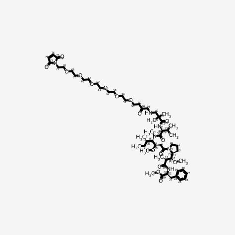 CC[C@H](C)[C@@H]([C@@H](CC(=O)N1CCC[C@H]1[C@H](OC)[C@@H](C)C(=O)N[C@@H](Cc1ccccc1)C(=O)OC)OC)N(C)C(=O)[C@@H](NC(=O)C(C)(C)CNCC(=O)CCOCCOCCOCCOCCOCCOCCN1C(=O)C=CC1=O)C(C)C